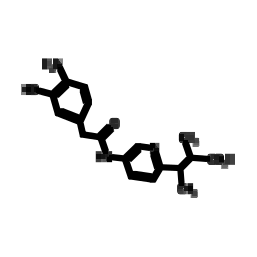 CC(C(=O)O)C(C)c1ccc(NC(=O)Cc2ccc(N)c(O)c2)cn1